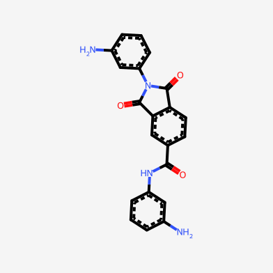 Nc1cccc(NC(=O)c2ccc3c(c2)C(=O)N(c2cccc(N)c2)C3=O)c1